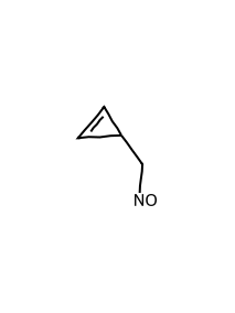 O=NCC1C=C1